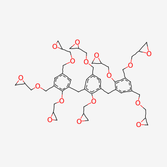 c1c(COCC2CO2)cc(Cc2cc(COCC3CO3)cc(Cc3cc(COCC4CO4)cc(COCC4CO4)c3OCC3CO3)c2OCC2CO2)c(OCC2CO2)c1COCC1CO1